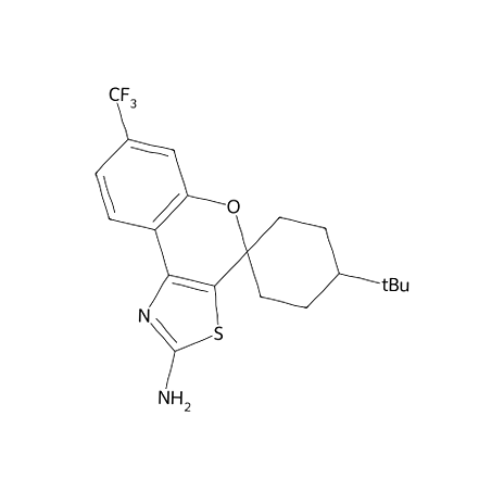 CC(C)(C)C1CCC2(CC1)Oc1cc(C(F)(F)F)ccc1-c1nc(N)sc12